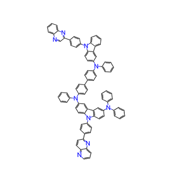 c1ccc(N(c2ccc(-c3ccc(N(c4ccccc4)c4ccc5c(c4)c4cc(N(c6ccccc6)c6ccccc6)ccc4n5-c4ccc(-c5ccc6ncccc6n5)cc4)cc3)cc2)c2ccc3c(c2)c2ccccc2n3-c2ccc(-c3cnc4ccccc4n3)cc2)cc1